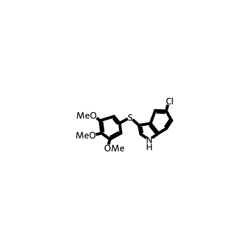 COc1cc(Sc2c[nH]c3ccc(Cl)cc23)cc(OC)c1OC